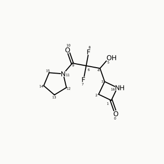 O=C1CC(C(O)C(F)(F)C(=O)N2CCCC2)N1